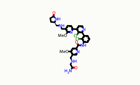 COc1cc(C(=O)Nc2cccc(-c3nccc(-c4ccc(CNC[C@H]5CCC(=O)N5)c(OC)n4)c3Cl)c2Cl)ncc1CNCC(N)=O